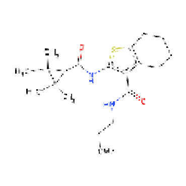 COCCNC(=O)c1c(NC(=O)C2C(C)(C)C2(C)C)sc2c1CCCC2